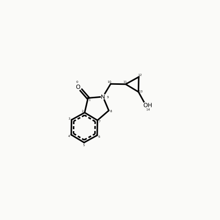 O=C1c2ccccc2CN1CC1CC1O